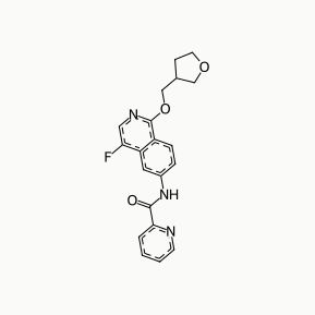 O=C(Nc1ccc2c(OCC3CCOC3)ncc(F)c2c1)c1ccccn1